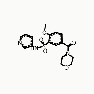 COc1ccc(C(=O)N2CCOCC2)cc1S(=O)(=O)Nc1cccnc1